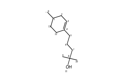 [CH2]C1CC=C(CCCC(C)(C)O)CC1